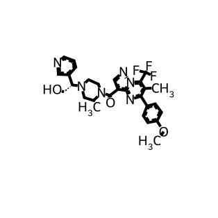 COc1ccc(-c2nc3c(C(=O)N4CCN([C@H](CO)c5cccnc5)C[C@H]4C)cnn3c(C(F)(F)F)c2C)cc1